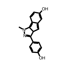 CN1N=C(c2ccc(O)cc2)C2C=c3cc(O)ccc3=C21